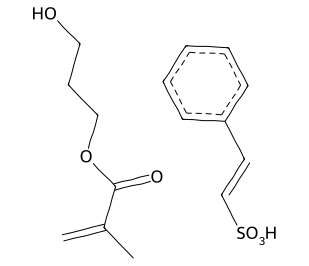 C=C(C)C(=O)OCCCO.O=S(=O)(O)C=Cc1ccccc1